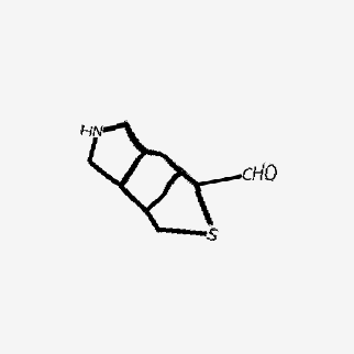 O=CC1SCC2C3CNCC3C12